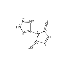 O=C1C=CC(=O)N1c1c[nH]nn1